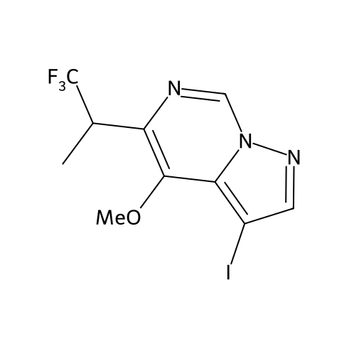 COc1c(C(C)C(F)(F)F)ncn2ncc(I)c12